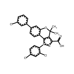 CC1(C)Oc2cc(-c3cccc(Cl)c3)ccc2-c2c1c(C(=O)O)nn2-c1ccc(Cl)cc1Cl